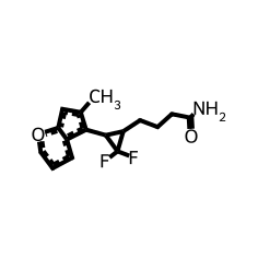 Cc1cc2occcc-2c1C1C(CCCC(N)=O)C1(F)F